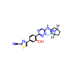 CN(c1cnc(-c2ccc(-c3csc(C#N)n3)cc2O)nn1)[C@H]1C[C@@H]2CC[C@@H](N2)[C@H]1F